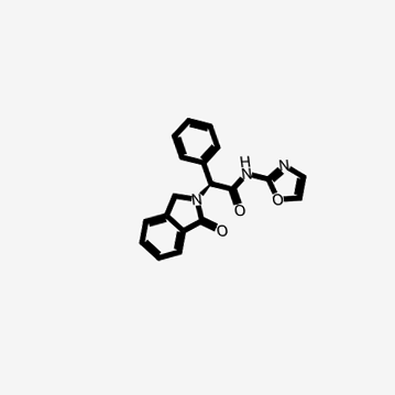 O=C(Nc1ncco1)[C@H](c1ccccc1)N1Cc2ccccc2C1=O